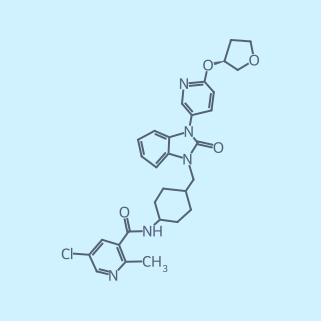 Cc1ncc(Cl)cc1C(=O)NC1CCC(Cn2c(=O)n(-c3ccc(O[C@H]4CCOC4)nc3)c3ccccc32)CC1